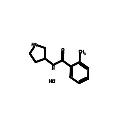 Cc1ccccc1C(=O)NC1CCNC1.Cl